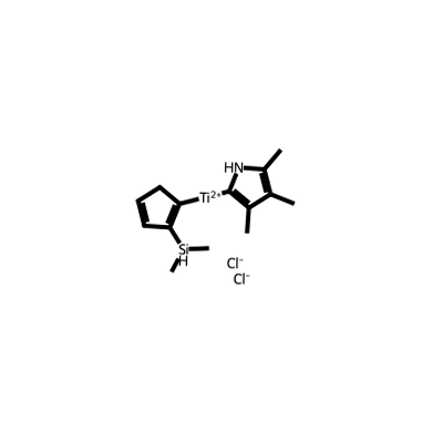 Cc1[nH][c]([Ti+2][C]2=C([SiH](C)C)C=CC2)c(C)c1C.[Cl-].[Cl-]